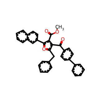 COC(=O)c1c(-c2ccc3ccccc3c2)oc(Cc2ccccc2)c1C(=O)c1ccc(-c2ccccc2)cc1